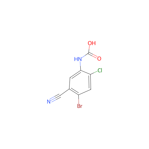 N#Cc1cc(NC(=O)O)c(Cl)cc1Br